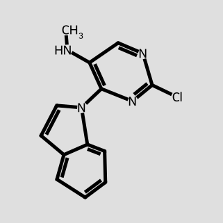 CNc1cnc(Cl)nc1-n1ccc2ccccc21